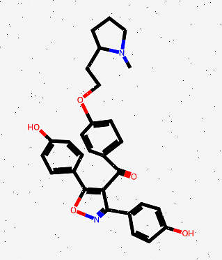 CN1CCCC1CCOc1ccc(C(=O)c2c(-c3ccc(O)cc3)noc2-c2ccc(O)cc2)cc1